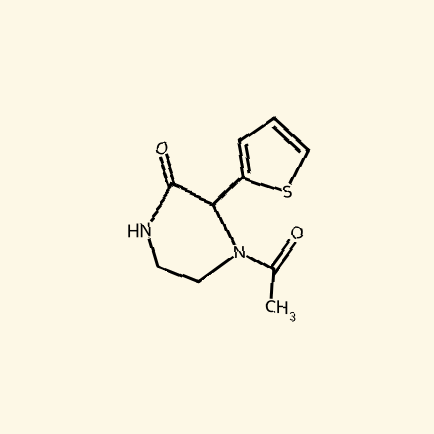 CC(=O)N1CCNC(=O)C1c1cccs1